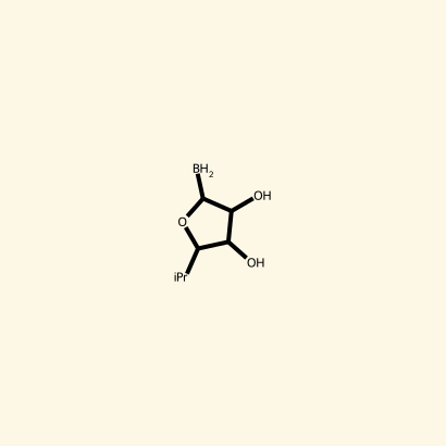 BC1OC(C(C)C)C(O)C1O